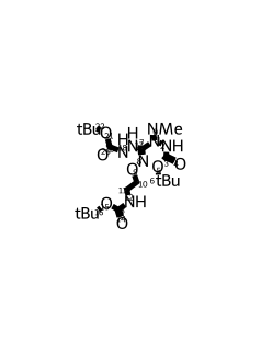 CNN(NC(=O)OC(C)(C)C)C(=NOCCNC(=O)OC(C)(C)C)NNC(=O)OC(C)(C)C